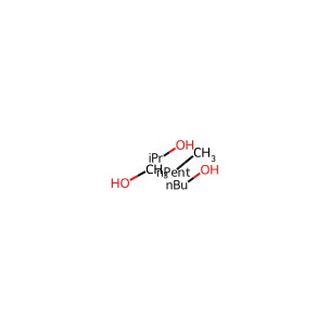 CC(C)O.CCCCCC.CCCCO.CO